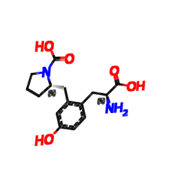 N[C@@H](Cc1ccc(O)cc1C[C@@H]1CCCN1C(=O)O)C(=O)O